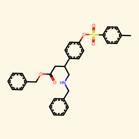 Cc1ccc(S(=O)(=O)Oc2ccc(C(CNCc3ccccc3)CC(=O)OCc3ccccc3)cc2)cc1